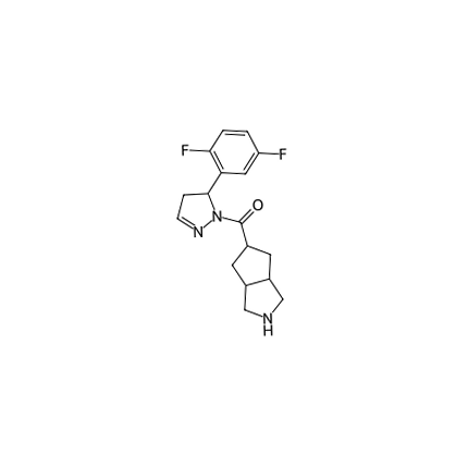 O=C(C1CC2CNCC2C1)N1N=CCC1c1cc(F)ccc1F